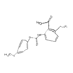 CCc1cccc(NC(=O)Oc2ccc(SC)cc2)c1C(=O)O